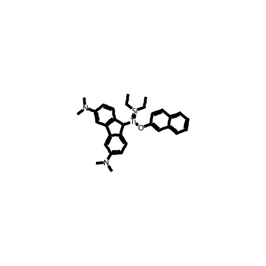 CC[Si](CC)=[Ti]([O]c1ccc2ccccc2c1)[CH]1c2ccc(N(C)C)cc2-c2cc(N(C)C)ccc21